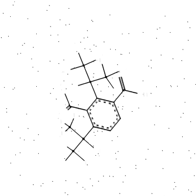 O=C(O)c1ccc(C(O)(C(F)(F)F)C(F)(F)F)c(C(=O)O)c1C(O)(C(F)(F)F)C(F)(F)F